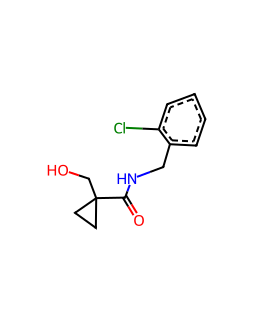 O=C(NCc1ccccc1Cl)C1(CO)CC1